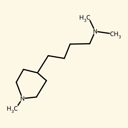 CN(C)CCCCC1CCN(C)CC1